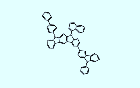 c1ccc(-c2ccc(-n3c4ccccc4c4cc5c6cc(-c7ccc8c(c7)c7ccccc7n8-c7ccccc7)ccc6n(-c6cccc7ccccc67)c5cc43)cc2)cc1